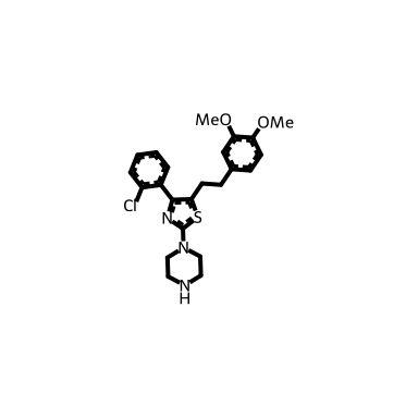 COc1ccc(CCc2sc(N3CCNCC3)nc2-c2ccccc2Cl)cc1OC